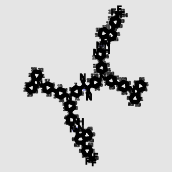 N#C/C(=C(/C#N)c1ccc(N(c2ccc(-c3ccc(-n4c5ccccc5c5ccccc54)cc3)cc2)c2ccc(-c3ccc(/N=C4\Nc5cccc6c(-c7ccc(C(F)(F)F)cc7)ccc4c56)nc3)cc2)cc1)c1ccc(N(c2ccc(-c3ccc(-n4c5ccccc5c5ccccc54)cc3)cc2)c2ccc(-c3ccc(/N=C4\Nc5ccc(-c6ccc(C(F)(F)F)cc6)c6cccc4c56)nc3)cc2)cc1